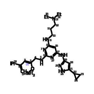 C=C(/C=C(/CNc1nc(NCCCN(CC)CC)cc(Nc2cc(C3CC3)[nH]n2)n1)ON)C(C)C